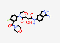 N=C1NCc2cc(NC(=O)[C@H](O)[C@H]3OCCN(c4ccc(F)c(C(=O)N5CCOCC5)c4)C3=O)ccc21